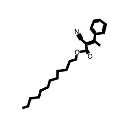 CCCCCCCCCCCCOC(=O)/C(C#N)=C(\C)c1ccccc1